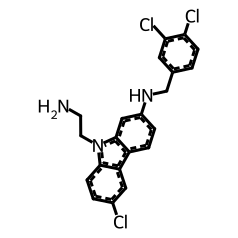 NCCn1c2ccc(Cl)cc2c2ccc(NCc3ccc(Cl)c(Cl)c3)cc21